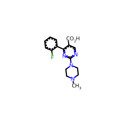 CN1CCN(c2ncc(C(=O)O)c(-c3ccccc3F)n2)CC1